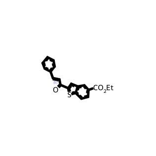 CCOC(=O)c1ccc2sc(C(=O)/C=C/c3ccccc3)cc2c1